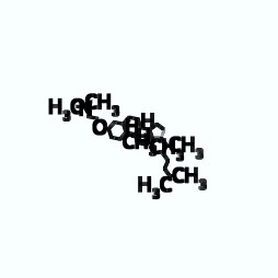 CC(C)CCC[C@@H](C)[C@H]1CC[C@H]2[C@@H]3CC=C4C[C@@H](OCCN(C)C)CC[C@]4(C)[C@H]3CC[C@]12C